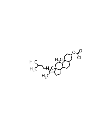 CC(C)CCCC(C)C1CCC2C3CCC4CC(OC(=O)Cl)CCC4(C)C3CCC12C